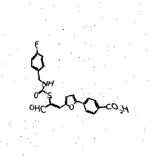 O=C/C(=C/c1ccc(-c2ccc(C(=O)O)cc2)o1)SC(=O)NCc1ccc(F)cc1